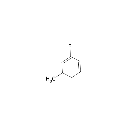 CC1C=C(F)C=CC1